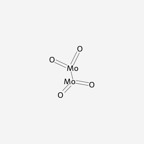 [O]=[Mo](=[O])[Mo](=[O])=[O]